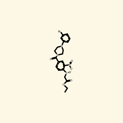 CCOC(=O)C[S+]([O-])c1ccc(C(=O)N2CCN(c3cccc(Br)c3)CC2)cc1[N+](=O)[O-]